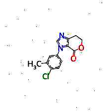 Cc1cc(-n2cnc3c2C(=O)OCC3)ccc1Cl